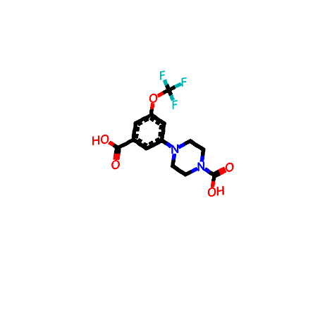 O=C(O)c1cc(OC(F)(F)F)cc(N2CCN(C(=O)O)CC2)c1